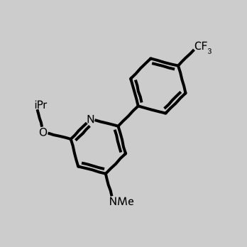 CNc1cc(OC(C)C)nc(-c2ccc(C(F)(F)F)cc2)c1